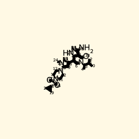 CC(C)C(C)n1cc(-c2cc(N3CCN(S(=O)(=O)C4CC4)CC3)n(C)n2)c2[nH]nc(N)c2c1=O